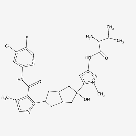 CC(C)C(N)C(=O)Nc1cc(C2(O)CC3CC(c4ncn(C)c4C(=O)Nc4ccc(F)c(Cl)c4)CC3C2)n(C)n1